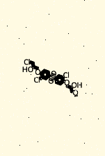 COCC(O)COc1ccc(S(=O)(=O)c2ccc(OCC(O)CCl)c(Cl)c2)cc1Cl